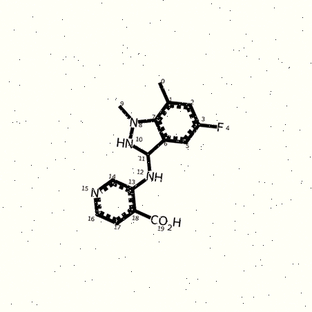 Cc1cc(F)cc2c1N(C)NC2Nc1cnccc1C(=O)O